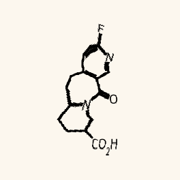 O=C(O)C1CCC2CCc3cc(F)ncc3C(=O)N2C1